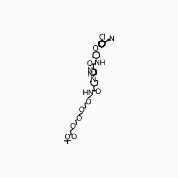 CC(C)(C)OC(=O)CCOCCOCCOCCOCCNC(=O)C1CCN(c2ccc(C(=O)N[C@H]3CC[C@H](Oc4ccc(C#N)c(Cl)c4)CC3)nn2)CC1